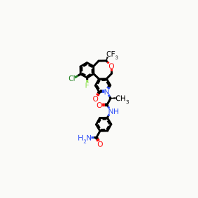 C[C@@H](C(=O)Nc1ccc(C(N)=O)cc1)n1cc2c(cc1=O)-c1c(ccc(Cl)c1F)C[C@@H](C(F)(F)F)OC2